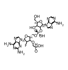 Nc1nc(N)c2ncn([C@@H]3O[C@H](COP(=O)(O)OC4C(O)[C@@H](CO)O[C@H]4n4cnc5c(N)ncnc54)C(OC[PH](=O)O)C3F)c2n1